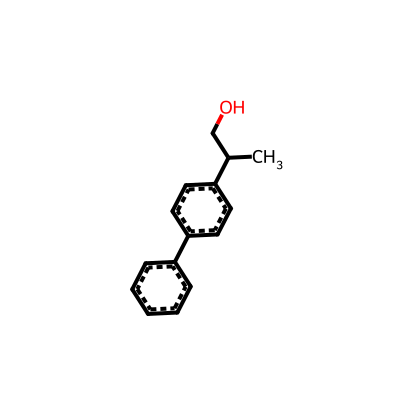 CC(CO)c1ccc(-c2ccccc2)cc1